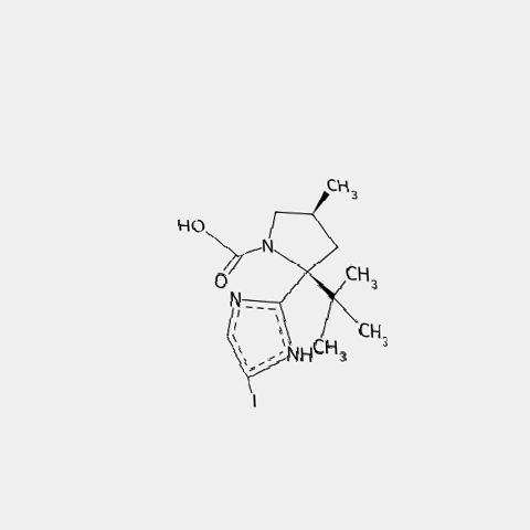 C[C@@H]1CN(C(=O)O)[C@](c2ncc(I)[nH]2)(C(C)(C)C)C1